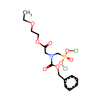 CCOCCOC(=O)CN(CP(=O)(OCl)OCl)C(=O)OCc1ccccc1